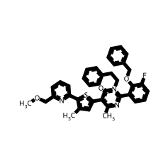 COCc1cccc(-c2sc(-c3c(C)nc(-c4cccc(F)c4OCc4ccccc4)n(CCc4ccccc4)c3=O)cc2C)n1